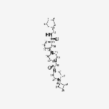 O=C(NCC1CCCCC1)c1cccc(N2CCN(CC(=O)N3CCN(C4CCC4)CC3)CC2)c1